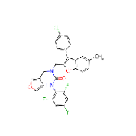 Cc1ccc2oc(CN(Cc3ccoc3)C(=O)Nc3c(F)cc(F)cc3F)c(-c3ccc(Cl)cc3)c2c1